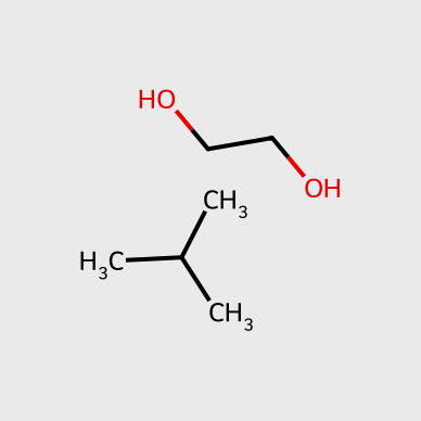 CC(C)C.OCCO